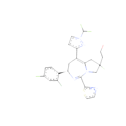 C[C@@H](CO)C1(F)CC2=C(c3ccn(C(F)F)n3)C[C@H](c3ccc(F)cc3Cl)N=C(c3nccs3)N2C1